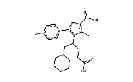 Cc1ccc(-c2cc(C(=O)O)c(C)n2C(CCC(N)=O)CC2CCCCC2)cc1